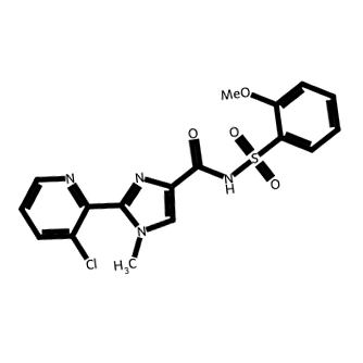 COc1ccccc1S(=O)(=O)NC(=O)c1cn(C)c(-c2ncccc2Cl)n1